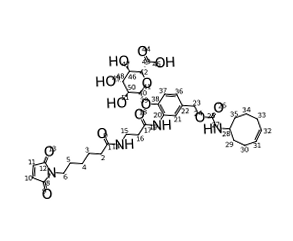 O=C(CCCCCN1C(=O)C=CC1=O)NCCC(=O)Nc1cc(COC(=O)NC2CC/C=C\CCC2)ccc1O[C@H]1O[C@@H](C(=O)O)[C@H](O)[C@@H](O)[C@@H]1O